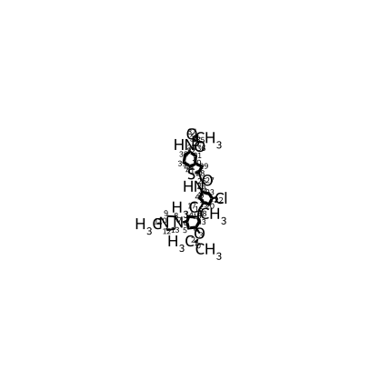 CC(C)Oc1cc(N2CCN(C)CC2)cc(C(C)(C)c2cc(Cl)cc(NC(=O)c3cc4cc(NS(C)(=O)=O)ccc4s3)c2)c1